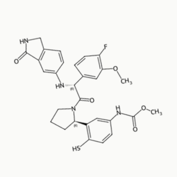 COC(=O)Nc1ccc(S)c([C@H]2CCCN2C(=O)[C@H](Nc2ccc3c(c2)C(=O)NC3)c2ccc(F)c(OC)c2)c1